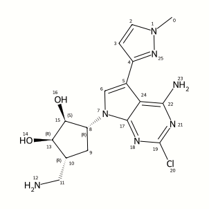 Cn1ccc(-c2cn([C@@H]3C[C@H](CN)[C@@H](O)[C@H]3O)c3nc(Cl)nc(N)c23)n1